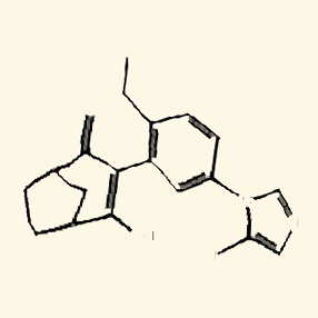 CCc1ccc(-n2cncc2Cl)cc1C1=C(O)C2CCC(C2)C1=O